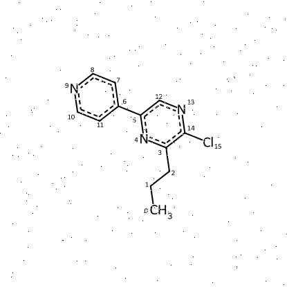 CCCc1nc(-c2ccncc2)cnc1Cl